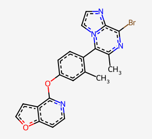 Cc1cc(Oc2nccc3occc23)ccc1-c1c(C)nc(Br)c2nccn12